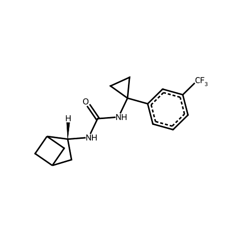 O=C(N[C@@H]1CC2CC1C2)NC1(c2cccc(C(F)(F)F)c2)CC1